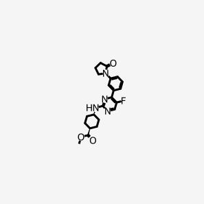 COC(=O)[C@H]1CC[C@H](Nc2ncc(F)c(-c3cccc(N4CCCC4=O)c3)n2)CC1